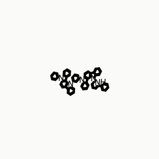 C1=CC(n2c3ccccc3c3ccc4c(c5ccccc5n4-c4cccc(-n5c6ccccc6c6ccc7c(c8ccccc8n7-c7ccccc7)c65)c4)c32)NC(c2ccccc2)=C1